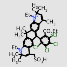 CCOC(=O)c1c(Cl)c(Cl)c(Cl)c(Cl)c1C1=c2cc3c(cc2C(C)(C)c2cc4c(cc21)C(CS(=O)(=O)O)=CC(C)(C)N4CC)=[N+](CC)C(C)(C)C=C3C